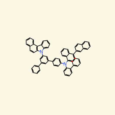 c1ccc(-c2cc(-c3ccc(N(c4ccccc4-c4ccccc4)c4ccc(-c5ccc6ccccc6c5)c5ccccc45)cc3)cc(-n3c4ccccc4c4c5ccccc5ccc43)c2)cc1